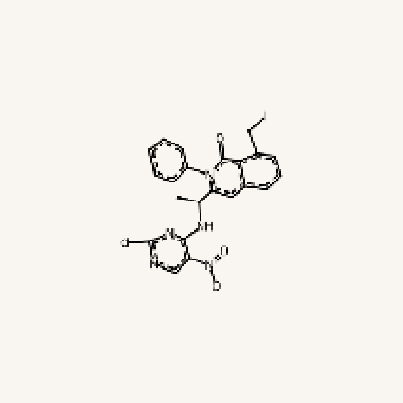 C[C@H](Nc1nc(Cl)ncc1[N+](=O)[O-])c1cc2cccc(CI)c2c(=O)n1-c1ccccc1